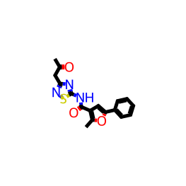 CC(=O)Cc1nsc(NC(=O)c2cc(-c3ccccc3)oc2C)n1